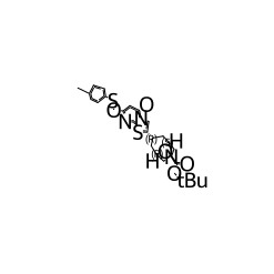 Cc1ccc(SOc2cc(=O)n3cc([C@H]4C[C@@H]5CN(C(=O)OC(C)(C)C)C[C@H](C4)O5)sc3n2)cc1